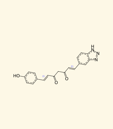 O=C(/C=C/c1ccc(O)cc1)CC(=O)/C=C/c1ccc2[nH]nnc2c1